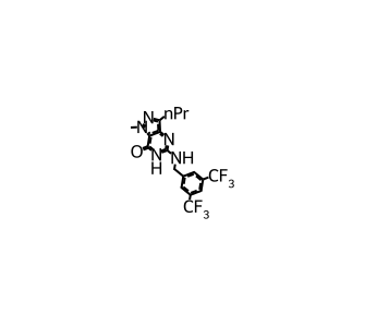 CCCc1nn(C)c2c(=O)[nH]c(NCc3cc(C(F)(F)F)cc(C(F)(F)F)c3)nc12